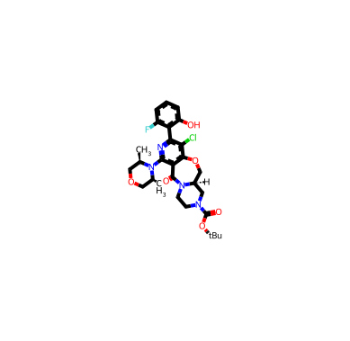 C[C@@H]1COC[C@H](C)N1c1nc(-c2c(O)cccc2F)c(Cl)c2c1C(=O)N1CCN(C(=O)OC(C)(C)C)C[C@@H]1CO2